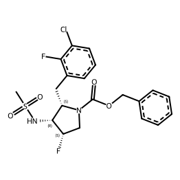 CS(=O)(=O)N[C@H]1[C@@H](F)CN(C(=O)OCc2ccccc2)[C@H]1Cc1cccc(Cl)c1F